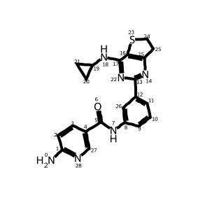 Nc1ccc(C(=O)Nc2cccc(-c3nc4c(c(NC5CC5)n3)SCC4)c2)cn1